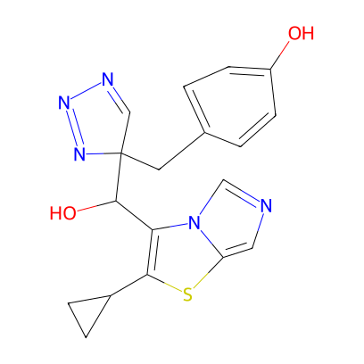 Oc1ccc(CC2(C(O)c3c(C4CC4)sc4cncn34)C=NN=N2)cc1